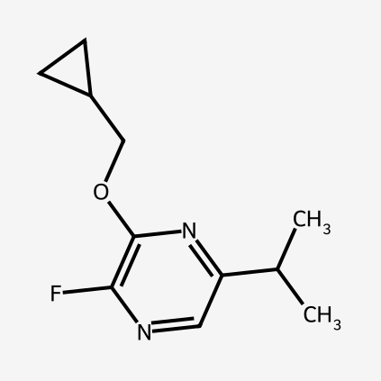 CC(C)c1cnc(F)c(OCC2CC2)n1